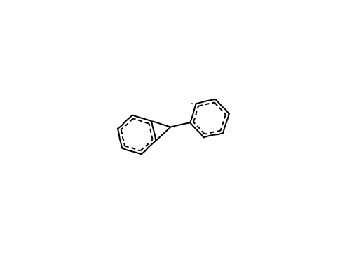 [c]1ccccc1[C]1c2ccccc21